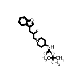 CC(C)(C)OC(=O)NC1CCN(CC(F)Cc2coc3ccccc23)CC1